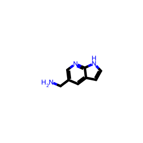 NCc1cnc2[nH]ccc2c1